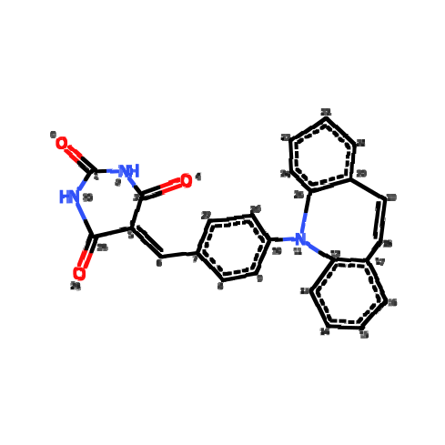 O=C1NC(=O)C(=Cc2ccc(N3c4ccccc4C=Cc4ccccc43)cc2)C(=O)N1